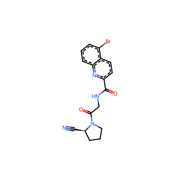 N#C[C@@H]1CCCN1C(=O)CNC(=O)c1ccc2c(Br)cccc2n1